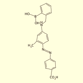 Cc1cc(NCc2ccccc2B(O)O)ccc1/N=N/c1ccc(C(=O)O)cc1